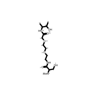 CNC(CO)C(=O)NCCOCCOCC(=O)NC(C)C(C)O